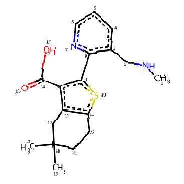 CNCc1cccnc1-c1sc2c(c1C(=O)O)CC(C)(C)CC2